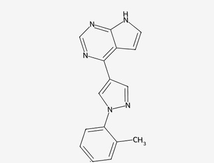 Cc1c[c]ccc1-n1cc(-c2ncnc3[nH]ccc23)cn1